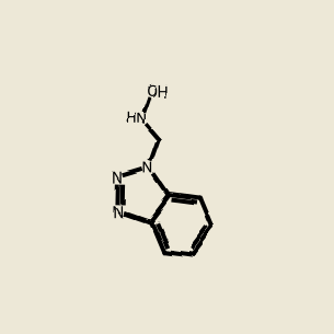 ONCn1nnc2ccccc21